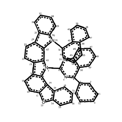 c1ccc(-c2nc(-n3c4c(ccc5oc6ccccc6c54)c4ccc5c6ccccc6n(-c6cccc7ccccc67)c5c43)nc3ccccc23)cc1